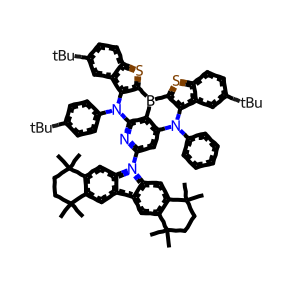 CC(C)(C)c1ccc(N2c3nc(-n4c5cc6c(cc5c5cc7c(cc54)C(C)(C)CCC7(C)C)C(C)(C)CCC6(C)C)cc4c3B(c3sc5ccc(C(C)(C)C)cc5c3N4c3ccccc3)c3sc4ccc(C(C)(C)C)cc4c32)cc1